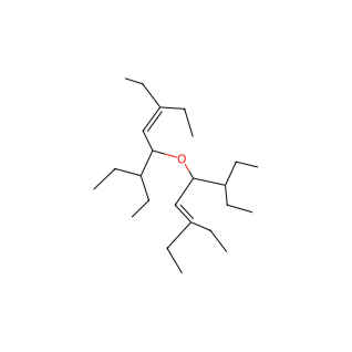 CCC(=CC(OC(C=C(CC)CC)C(CC)CC)C(CC)CC)CC